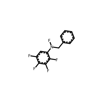 Fc1cc(N(F)Cc2ccccc2)c(F)c(F)c1F